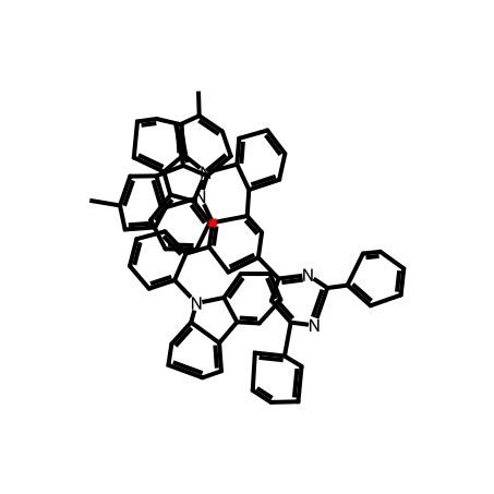 Cc1ccc2c(c1)c1cc(C)ccc1n2-c1c(-c2ccccc2-n2c3ccccc3c3ccccc32)cc(-c2cc(-c3ccccc3)nc(-c3ccccc3)n2)cc1-c1ccccc1-n1c2ccccc2c2ccccc21